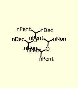 CCCCCCCCCC(CCCCC)OC(CCCCC)CCCCCCCCC.CCCCCCCCCCC(CCCCC)OC(CCCCC)CCCCCCCCCC